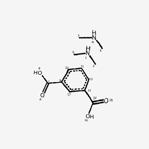 CNC.CNC.O=C(O)c1cccc(C(=O)O)c1